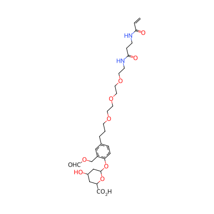 C=CC(=O)NCCC(=O)NCCOCCOCCOCCCc1ccc(OC2CC(O)CC(C(=O)O)O2)c(COC=O)c1